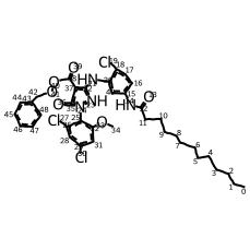 CCCCCCCCCCCCC(=O)Nc1ccc(Cl)c(Nc2[nH]n(-c3c(Cl)cc(Cl)cc3OC)c(=O)c2C(=O)OOCc2ccccc2)c1